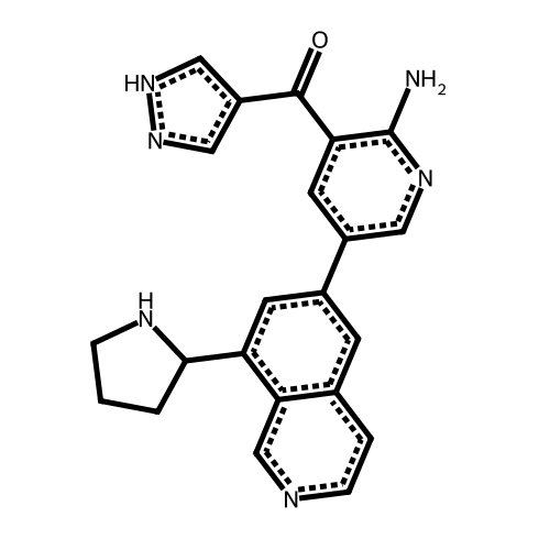 Nc1ncc(-c2cc(C3CCCN3)c3cnccc3c2)cc1C(=O)c1cn[nH]c1